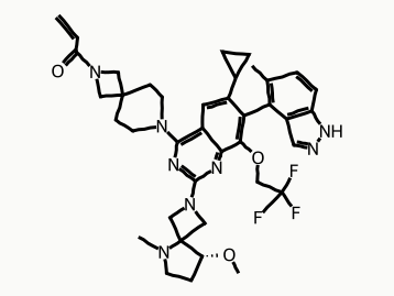 C=CC(=O)N1CC2(CCN(c3nc(N4CC5(C4)[C@H](OC)CCN5C)nc4c(OCC(F)(F)F)c(-c5c(C)ccc6[nH]ncc56)c(C5CC5)cc34)CC2)C1